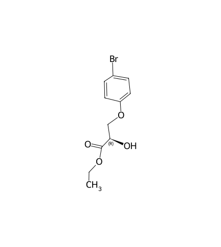 CCOC(=O)[C@H](O)COc1ccc(Br)cc1